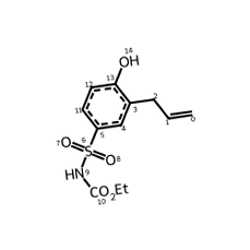 C=CCc1cc(S(=O)(=O)NC(=O)OCC)ccc1O